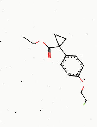 CCOC(=O)C1(c2ccc(OCCF)cc2)CC1